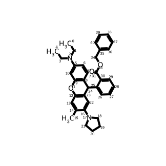 CCN(CC)c1ccc2c(c1)Oc1cc(C)c(N3CCCC3)cc1C2c1ccccc1C(=O)OCc1ccccc1